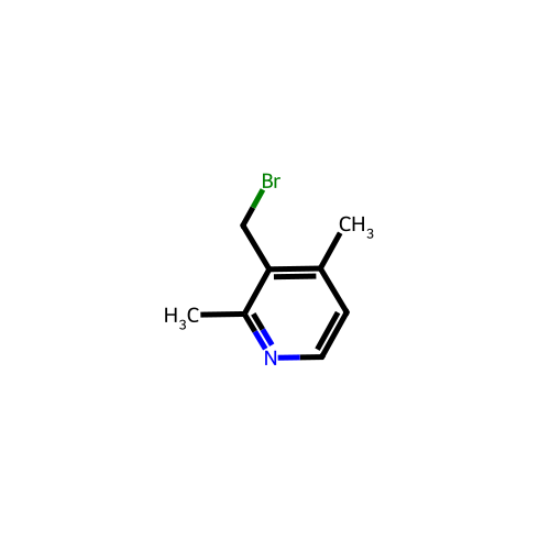 Cc1ccnc(C)c1CBr